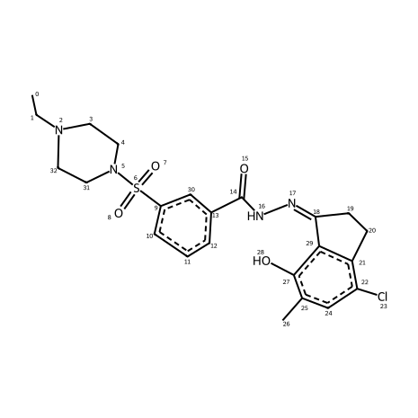 CCN1CCN(S(=O)(=O)c2cccc(C(=O)N/N=C3/CCc4c(Cl)cc(C)c(O)c43)c2)CC1